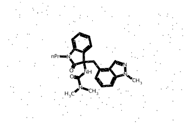 CCCN1C(=O)C(Cc2cccc3c2cnn3C)(NC(=O)N(C)C)c2ccccc21